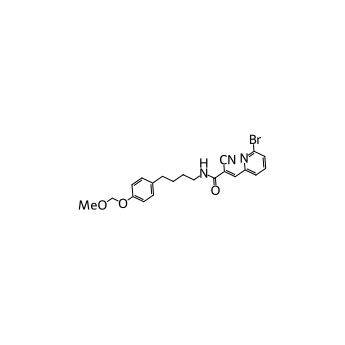 COCOc1ccc(CCCCNC(=O)/C(C#N)=C/c2cccc(Br)n2)cc1